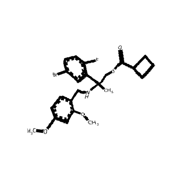 COc1ccc(CNC(C)(CSC(=O)C2CCC2)c2cc(Br)ccc2F)c(OC)c1